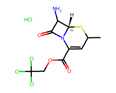 CC1C=C(C(=O)OCC(Cl)(Cl)Cl)N2C(=O)C(N)[C@@H]2S1.Cl